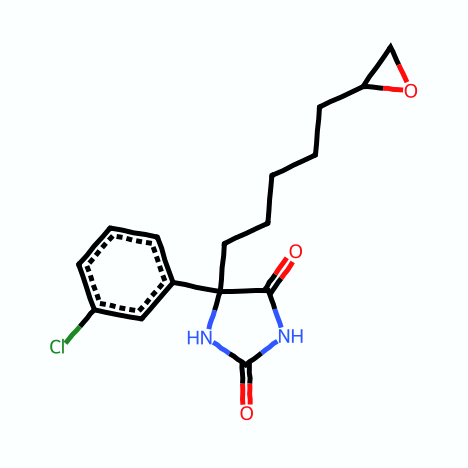 O=C1NC(=O)C(CCCCCC2CO2)(c2cccc(Cl)c2)N1